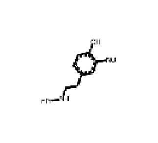 CCCNCCc1ccc(O)c(N=O)c1